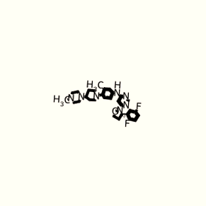 Cc1cc(Nc2cc(N3OCC[C@@H]3c3cc(F)ccc3F)ncn2)ccc1N1CCC(N2CCN(C)CC2)CC1